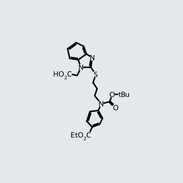 CCOC(=O)c1ccc(N(CCCSc2nc3ccccc3n2CC(=O)O)C(=O)OC(C)(C)C)cc1